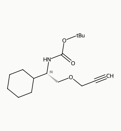 C#CCOC[C@@H](NC(=O)OC(C)(C)C)C1CCCCC1